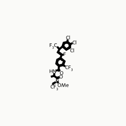 CON(CC(F)(F)F)C(=O)C(C)NC(=O)c1ccc(/C(F)=C/C(c2cc(Cl)c(Cl)c(Cl)c2)C(F)(F)F)cc1C(F)(F)F